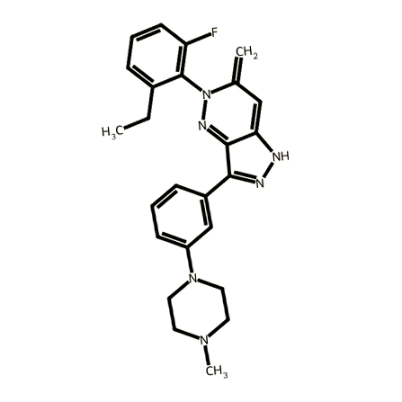 C=C1C=c2[nH]nc(-c3cccc(N4CCN(C)CC4)c3)c2=NN1c1c(F)cccc1CC